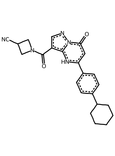 N#CC1CN(C(=O)c2cnn3c(=O)cc(-c4ccc(C5CCCCC5)cc4)[nH]c23)C1